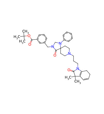 CC(C)(C)OC(=O)c1cccc(CN2CN(c3ccccc3)C3(CCN(CCCN4C(=O)C(C)(C)C5=C4CCC=C5)CC3)C2=O)c1